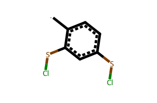 [CH2]c1ccc(SCl)cc1SCl